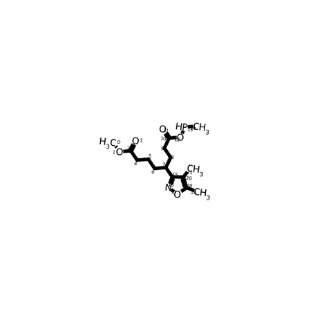 COC(=O)CCCC(CCC(=O)OPC)c1noc(C)c1C